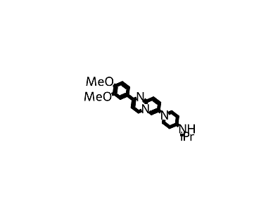 COc1ccc(C2=CCN3C=C(N4CCC(NC(C)C)CC4)C=CC3=N2)cc1OC